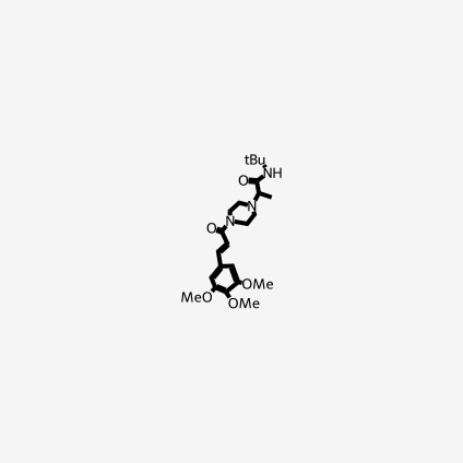 COc1cc(C=CC(=O)N2CCN(C(C)C(=O)NC(C)(C)C)CC2)cc(OC)c1OC